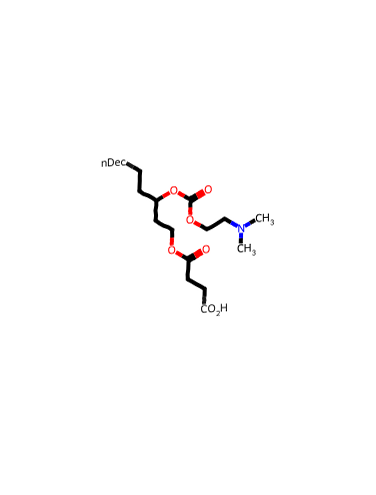 CCCCCCCCCCCCC(CCOC(=O)CCC(=O)O)OC(=O)OCCN(C)C